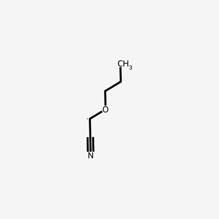 CCCO[CH]C#N